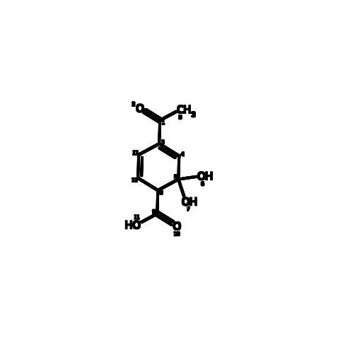 CC(=O)C1=CC(O)(O)C(C(=O)O)C=C1